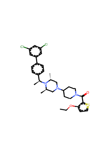 CCOc1ccsc1C(=O)N1CCC(N2C[C@@H](C)N([C@@H](C)c3ccc(-c4cc(Cl)cc(Cl)c4)cc3)[C@H](C)C2)CC1